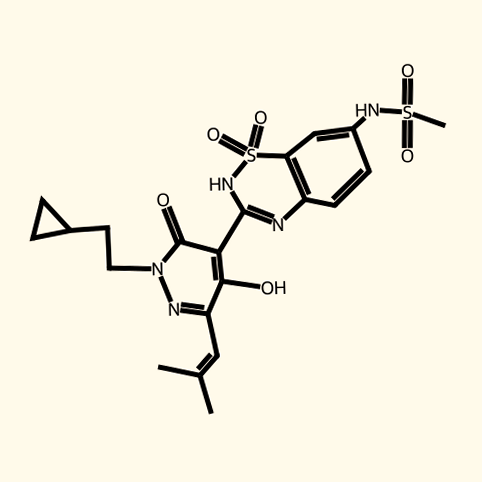 CC(C)=Cc1nn(CCC2CC2)c(=O)c(C2=Nc3ccc(NS(C)(=O)=O)cc3S(=O)(=O)N2)c1O